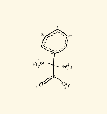 NC(N)(C(=O)O)c1ccccc1